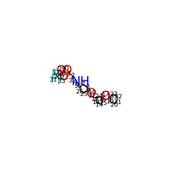 O=C(CCNCc1ccc(OCc2cccc(Oc3ccccc3)c2)cc1)OC(=O)C(F)(F)F